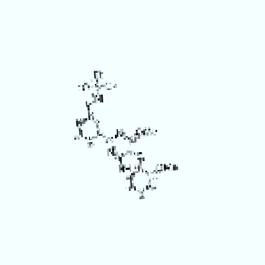 CCS(=O)(=O)NCc1cc(-c2nc(N)c(Oc3ccccc3OC)c(OC)n2)ccn1